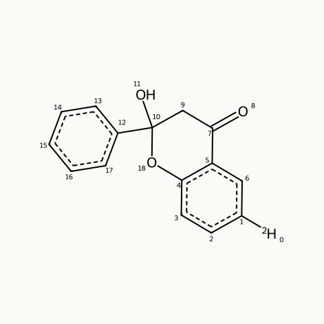 [2H]c1ccc2c(c1)C(=O)CC(O)(c1ccccc1)O2